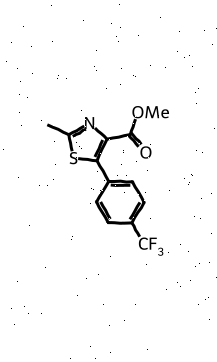 COC(=O)c1nc(C)sc1-c1ccc(C(F)(F)F)cc1